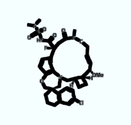 CO[C@H]1/C=C/CCN(C)C(=O)C[C@@](F)(C(=O)NS(=O)(=O)N(C)C)c2ccc3c(c2)N(C[C@@H]2CC[C@H]21)C[C@@]1(CCCc2cc(Cl)ccc21)CO3